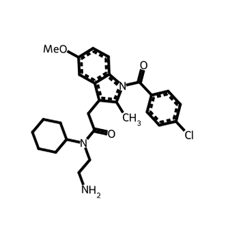 COc1ccc2c(c1)c(CC(=O)N(CCN)C1CCCCC1)c(C)n2C(=O)c1ccc(Cl)cc1